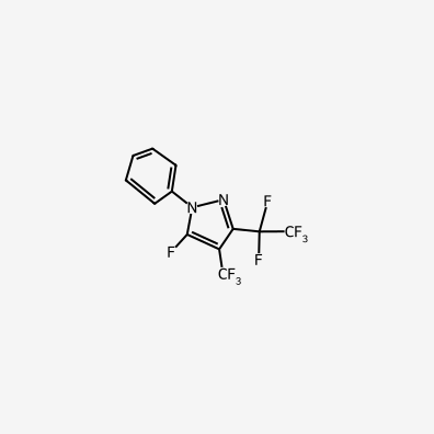 Fc1c(C(F)(F)F)c(C(F)(F)C(F)(F)F)nn1-c1ccccc1